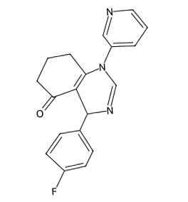 O=C1CCCC2=C1C(c1ccc(F)cc1)N=CN2c1cccnc1